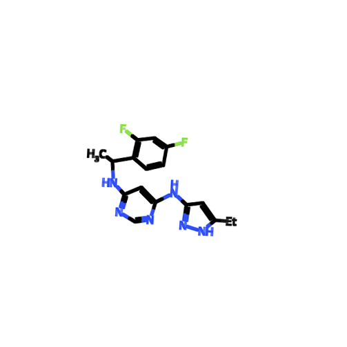 CCc1cc(Nc2cc(NC(C)c3ccc(F)cc3F)ncn2)n[nH]1